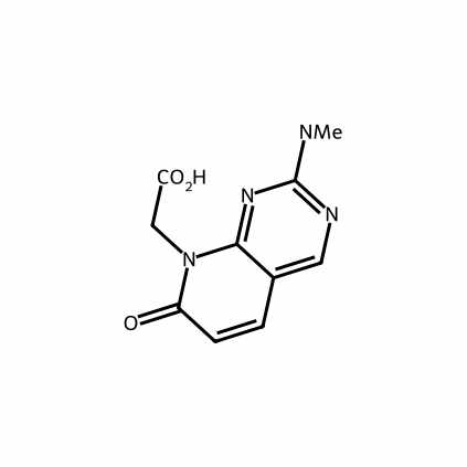 CNc1ncc2ccc(=O)n(CC(=O)O)c2n1